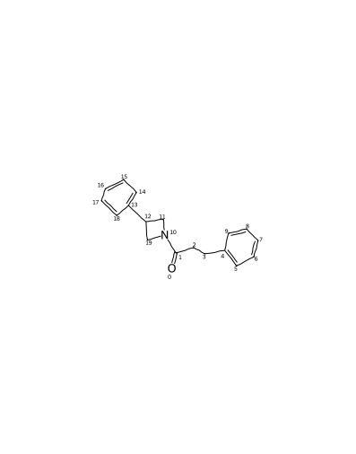 O=C(CCc1ccccc1)N1CC(c2ccccc2)C1